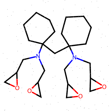 C1CCC(CC2(N(CC3CO3)CC3CO3)CCCCC2)(N(CC2CO2)CC2CO2)CC1